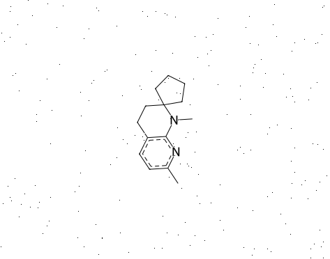 Cc1ccc2c(n1)N(C)C1(CCCC1)CC2